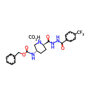 O=C(N[C@H]1CC[C@H](C(=O)NNC(=O)c2ccc(C(F)(F)F)cc2)N(C(=O)O)C1)OCc1ccccc1